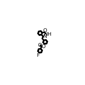 O=C(Oc1cccc(Cc2n[nH]c(=O)c3ccccc23)c1)c1ccc(F)cc1